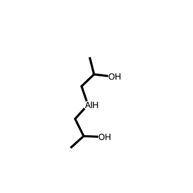 CC(O)[CH2][AlH][CH2]C(C)O